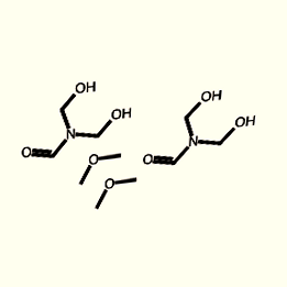 COC.COC.O=CN(CO)CO.O=CN(CO)CO